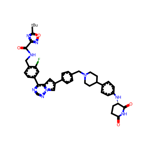 CC(C)(C)c1nc(C(=O)NCc2ccc(-c3ncnn4cc(-c5ccc(CN6CCC(c7ccc(N[C@H]8CCC(=O)NC8=O)cc7)CC6)cc5)cc34)cc2F)no1